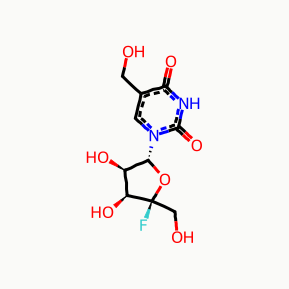 O=c1[nH]c(=O)n([C@@H]2O[C@](F)(CO)[C@@H](O)[C@H]2O)cc1CO